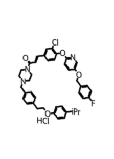 CC(C)c1ccc(OCCc2ccc(CN3CCN(C(=O)/C=C/c4ccc(Oc5ccc(OCc6ccc(F)cc6)cn5)c(Cl)c4)CC3)cc2)cc1.Cl